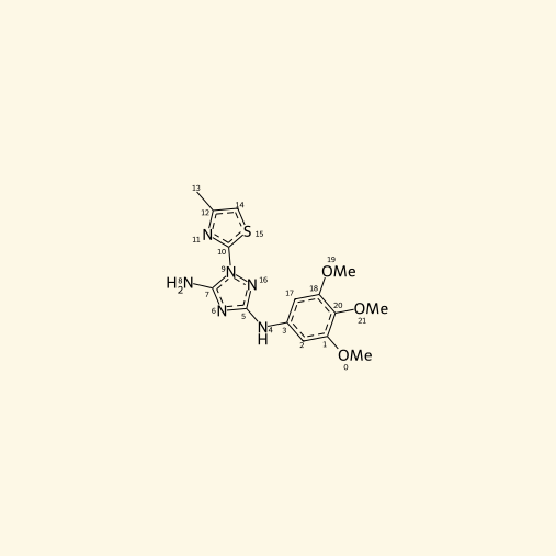 COc1cc(Nc2nc(N)n(-c3nc(C)cs3)n2)cc(OC)c1OC